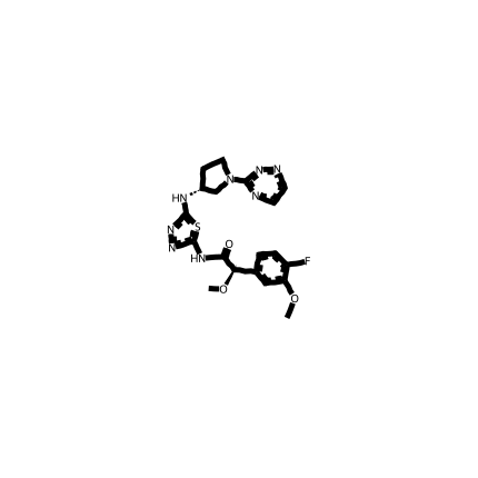 COc1cc([C@@H](OC)C(=O)Nc2nnc(N[C@@H]3CCN(c4nccnn4)C3)s2)ccc1F